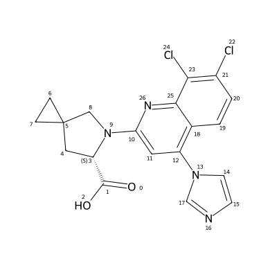 O=C(O)[C@@H]1CC2(CC2)CN1c1cc(-n2ccnc2)c2ccc(Cl)c(Cl)c2n1